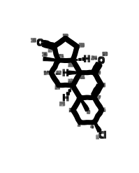 C[C@]12CC[C@H](Cl)CC1=CC(=O)[C@@H]1[C@@H]2CC[C@]2(C)C(=O)CC[C@@H]12